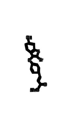 COC(=O)/C=C/c1ccc(Oc2c(Br)sc3cc(O)ccc23)cc1